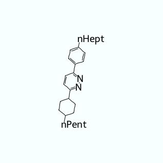 CCCCCCCc1ccc(-c2ccc(C3CCC(CCCCC)CC3)nn2)cc1